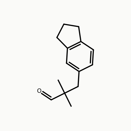 CC(C)(C=O)Cc1ccc2c(c1)CCC2